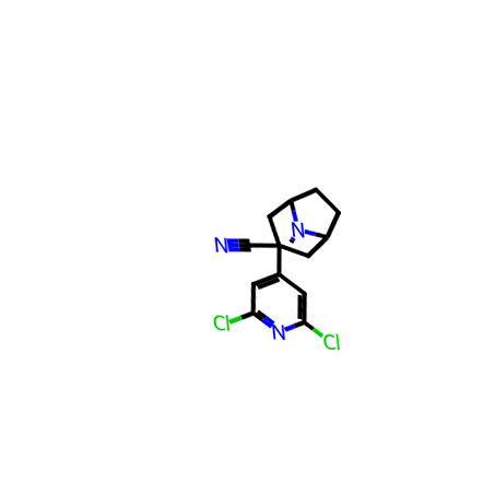 CN1C2CCC1CC(C#N)(c1cc(Cl)nc(Cl)c1)C2